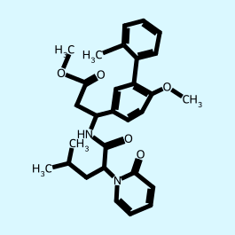 COC(=O)CC(NC(=O)C(CC(C)C)n1ccccc1=O)c1ccc(OC)c(-c2ccccc2C)c1